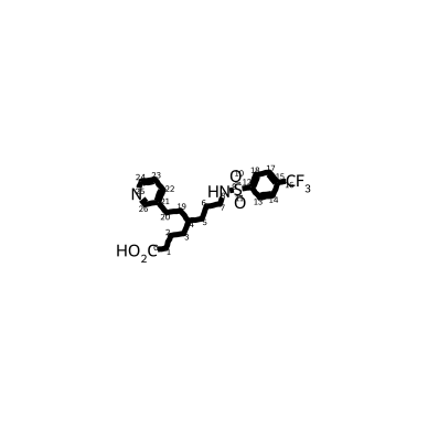 O=C(O)CCCC(CCCNS(=O)(=O)c1ccc(C(F)(F)F)cc1)CCc1cccnc1